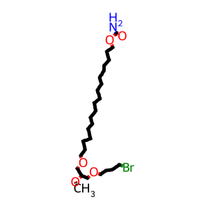 COC(COCCCCBr)COCCCCCCCCCCCCCCCCCCOC(N)=O